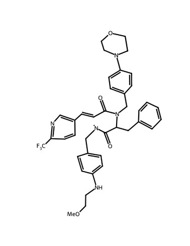 COCCNc1ccc(CN(C)C(=O)C(Cc2ccccc2)N(Cc2ccc(N3CCOCC3)cc2)C(=O)C=Cc2ccc(C(F)(F)F)nc2)cc1